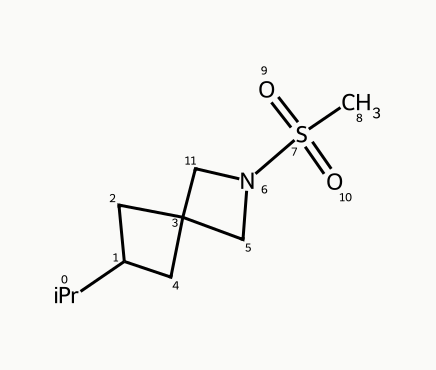 CC(C)C1CC2(C1)CN(S(C)(=O)=O)C2